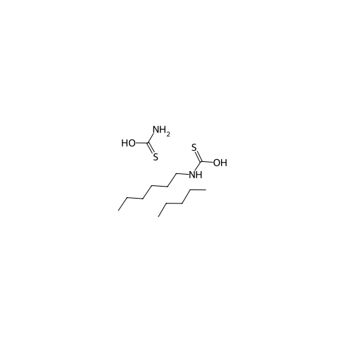 CCCCC.CCCCCCNC(O)=S.NC(O)=S